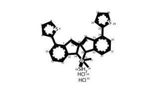 CC1=Cc2c(-c3cccs3)cccc2[CH]1[Zr]([CH3])([CH3])(=[SiH2])[CH]1C(C)=Cc2c(-c3cccs3)cccc21.Cl.Cl